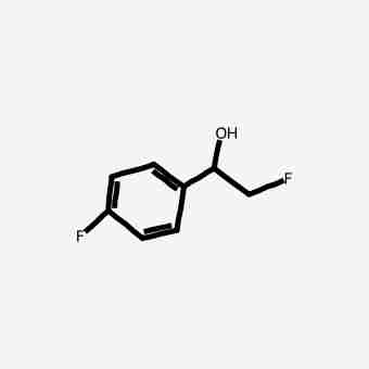 OC(CF)c1ccc(F)cc1